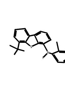 Cc1ccccc1N(I)c1cccc2c1sc1c(C(C)(C)C)cccc12